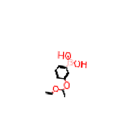 CCOC(C)Oc1cccc(B(O)O)c1